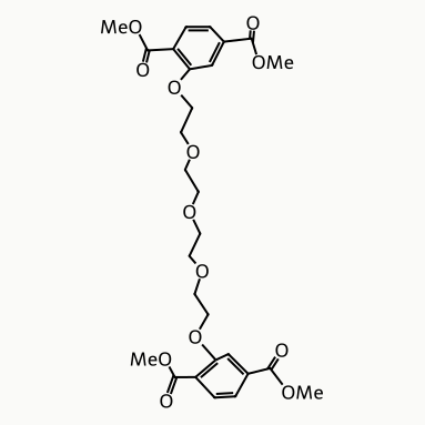 COC(=O)c1ccc(C(=O)OC)c(OCCOCCOCCOCCOc2cc(C(=O)OC)ccc2C(=O)OC)c1